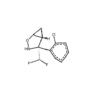 FC(F)[C@]1(c2ccccc2Cl)NOC2C[C@@H]21